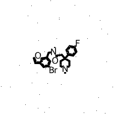 CN1CCC(CC(=O)N(C)Cc2cc(Br)cc3ccoc23)(c2ccc(F)cc2)CC1